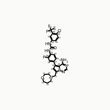 Nc1ncnn2c(CN3CCCOCC3)cc(-c3ccc(NC(=O)Nc4ccc(Cl)c(C(F)(F)F)c4)c(F)c3)c12